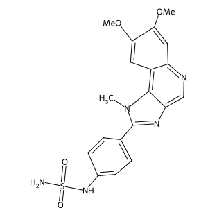 COc1cc2ncc3nc(-c4ccc(NS(N)(=O)=O)cc4)n(C)c3c2cc1OC